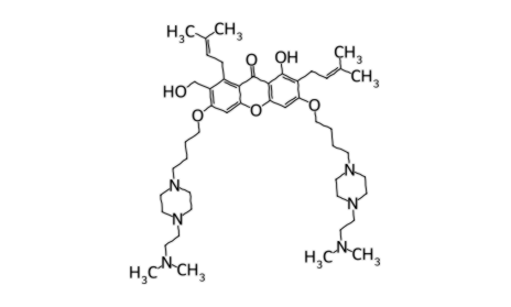 CC(C)=CCc1c(OCCCCN2CCN(CCN(C)C)CC2)cc2oc3cc(OCCCCN4CCN(CCN(C)C)CC4)c(CO)c(CC=C(C)C)c3c(=O)c2c1O